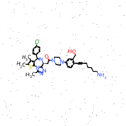 Cc1sc2c(c1C)C(c1ccc(Cl)cc1)=N[C@@H](CC(=O)N1CCN(c3ccc(C#CCCCCCN)c(CO)c3)CC1)c1nnc(C)n1-2